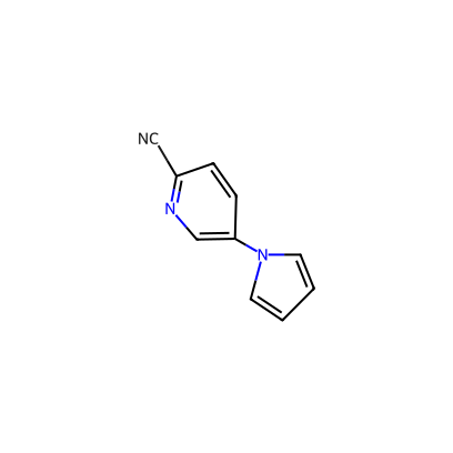 N#Cc1ccc(-n2cccc2)cn1